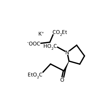 CCOC(=O)CC(=O)[C@@H]1CCCN1C(=O)O.CCOC(=O)CC(=O)[O-].[K+]